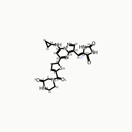 O=C1CN(C(=O)C2=CCC(c3cc(NC4CC4)n4ncc(/C=C5\NC(=O)NC5=O)c4n3)S2)CCN1